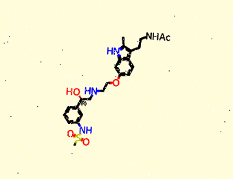 CC(=O)NCCc1c(C)[nH]c2cc(OCCNC[C@H](O)c3cccc(NS(C)(=O)=O)c3)ccc12